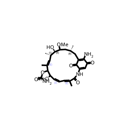 COC1/C=C\C=C(/C)C(=O)NC2=CC(=O)C(N)=C(C[C@@H](C)CC(OC)[C@H](O)[C@@H](C)/C=C(\C)C1OC(N)=O)C2=O